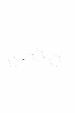 Nc1cccc(-c2cc3oc([C@H]4CCCN4)cc3nc2Cl)c1